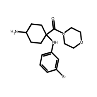 NC1CCC(Nc2cccc(Br)c2)(C(=O)N2CCOCC2)CC1